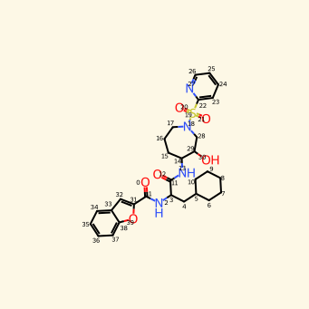 O=C(NC(CC1CCCCC1)C(=O)NC1CCCN(S(=O)(=O)c2ccccn2)CC1O)c1cc2ccccc2o1